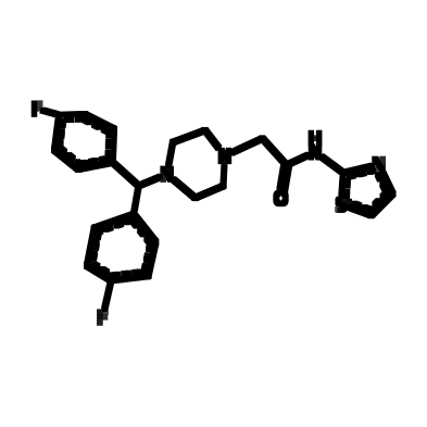 O=C(CN1CCN(C(c2ccc(F)cc2)c2ccc(F)cc2)CC1)Nc1nccs1